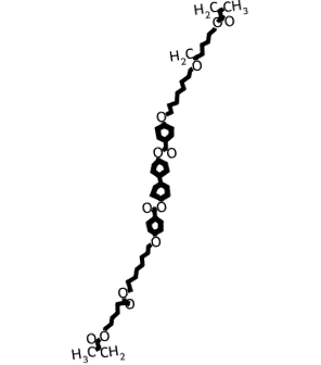 C=C(CCCCCOC(=O)C(=C)C)OCCCCCCCCOc1ccc(C(=O)Oc2ccc(-c3ccc(OC(=O)c4ccc(OCCCCCCCCOC(=O)CCCCCOC(=O)C(=C)C)cc4)cc3)cc2)cc1